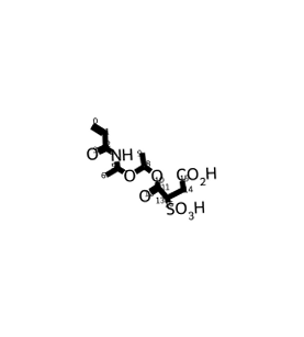 C=CC(=O)NC(C)OC(C)OC(=O)C(CC(=O)O)S(=O)(=O)O